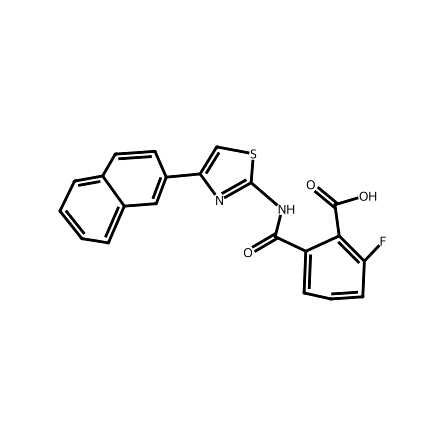 O=C(Nc1nc(-c2ccc3ccccc3c2)cs1)c1cccc(F)c1C(=O)O